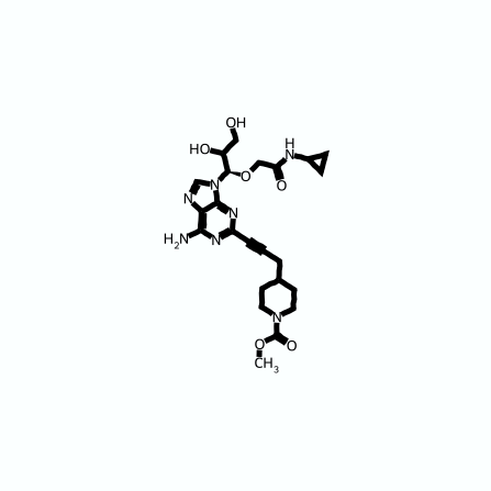 COC(=O)N1CCC(CC#Cc2nc(N)c3ncn([C@H](OCC(=O)NC4CC4)C(O)CO)c3n2)CC1